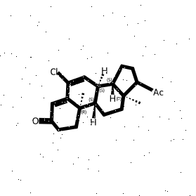 CC(=O)[C]1CC[C@H]2[C@@H]3C=C(Cl)C4=CC(=O)CC[C@]4(C)[C@H]3CC[C@]12C